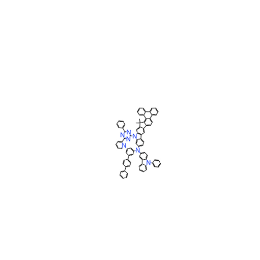 CC1(C)c2cc3c(cc2-c2ccc4c5ccccc5c5ccccc5c4c21)c1ccc(N(c2cccc(-c4ccc(-c5ccccc5)cc4)c2)c2ccc4c(c2)c2ccccc2n4-c2ccccc2)cc1n3-c1nc(-c2ccccc2)nc(-c2ccccn2)n1